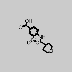 O=C(O)c1ccc(NCC2CCOCC2)c([N+](=O)[O-])c1